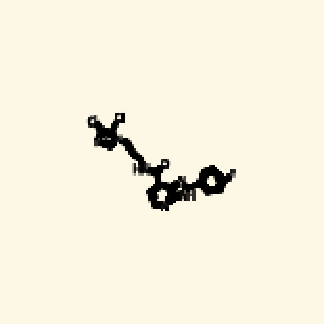 O=C(NCCCn1cnc(Cl)c1Cl)c1ccnc2[nH]c(-c3ccc(F)cc3)nc12